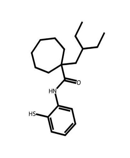 CCC(CC)CC1(C(=O)Nc2ccccc2S)CCCCCC1